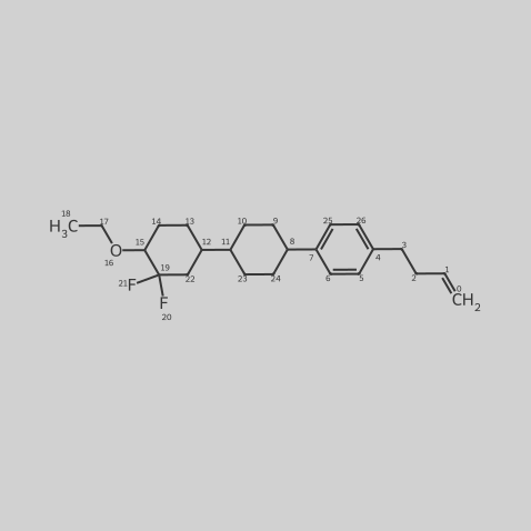 C=CCCc1ccc(C2CCC(C3CCC(OCC)C(F)(F)C3)CC2)cc1